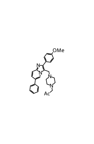 COc1ccc(-c2nc3ccc(-c4ccccc4)cn3c2CN2CCN(CC(C)=O)CC2)cc1